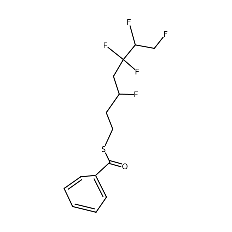 O=C(SCCC(F)CC(F)(F)C(F)CF)c1ccccc1